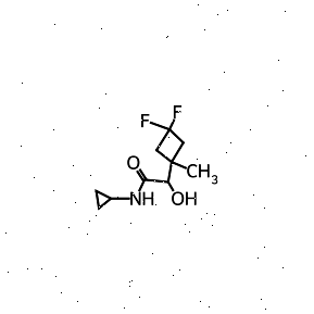 CC1(C(O)C(=O)NC2CC2)CC(F)(F)C1